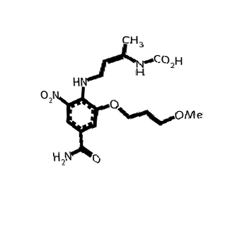 COCCCOc1cc(C(N)=O)cc([N+](=O)[O-])c1NCC=C(C)NC(=O)O